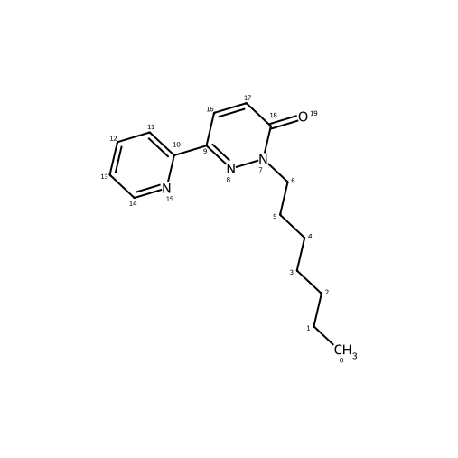 CCCCCCCn1nc(-c2ccccn2)ccc1=O